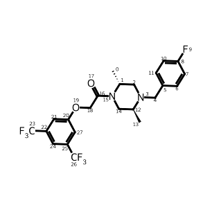 C[C@@H]1CN(Cc2ccc(F)cc2)[C@@H](C)CN1C(=O)COc1cc(C(F)(F)F)cc(C(F)(F)F)c1